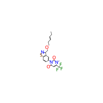 CCC=CCCOCc1nsc2ccc(-n3c(=O)cc(C(F)(F)F)n(C)c3=O)cc12